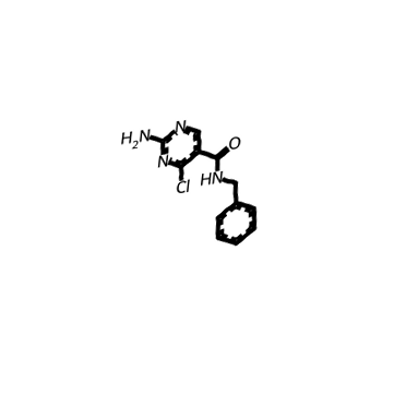 Nc1ncc(C(=O)NCc2ccccc2)c(Cl)n1